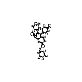 [O-][n+]1cc2cc(OCc3ccccc3)ccc2c(-c2ccc(F)cc2)c1C1CCOCC1